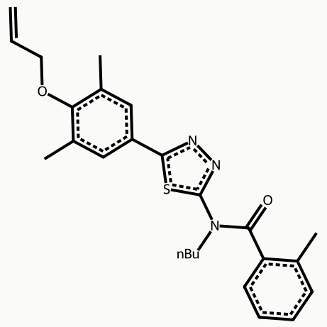 C=CCOc1c(C)cc(-c2nnc(N(CCCC)C(=O)c3ccccc3C)s2)cc1C